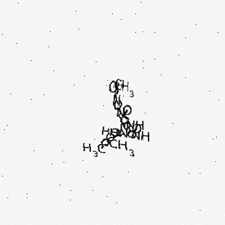 Cc1ccc(OC[C@H](O)CNc2cc[nH]c(=O)c2-c2nc3cc4c(cc3[nH]2)C(=O)N(C2CCN(CC[S+](C)[O-])CC2)C4)c(C)c1